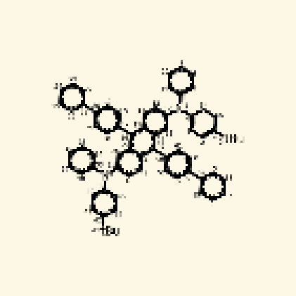 CC(C)(C)C1=CC=C(N(c2ccccc2)c2ccc3c(-c4ccc(-c5ccccc5)cc4)c4cc(N(c5ccccc5)c5ccc(C(C)(C)C)cc5)ccc4c(-c4ccc(-c5ccccc5)cc4)c3c2)CC1